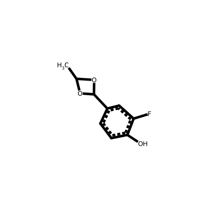 CC1OC(c2ccc(O)c(F)c2)O1